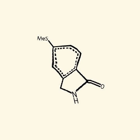 CSc1ccc2c(c1)CNC2=O